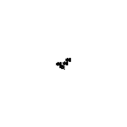 [B].[Ni].[Ni].[Ni]